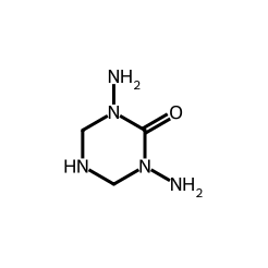 NN1CNCN(N)C1=O